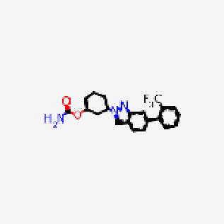 NC(=O)OC1CCCC(n2cc3ccc(-c4ccccc4C(F)(F)F)cc3n2)C1